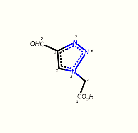 O=Cc1cn(CC(=O)O)nn1